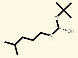 CC(C)CCCN[C@@H](O)OC(C)(C)C